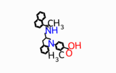 Cc1cc(N2CC(CN[C@H](C)c3cccc4ccccc34)Cc3ccccc32)ccc1C(=O)O